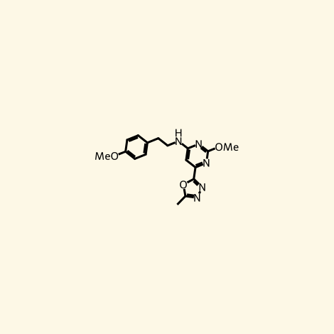 COc1ccc(CCNc2cc(-c3nnc(C)o3)nc(OC)n2)cc1